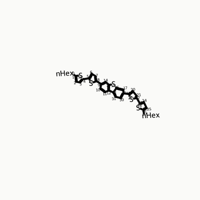 CCCCCCc1ccc(-c2ccc(-c3ccc4c(c3)sc3cc(-c5ccc(-c6ccc(CCCCCC)s6)s5)ccc34)s2)s1